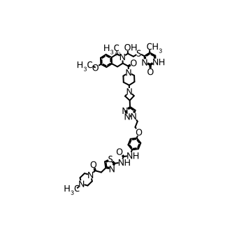 COc1ccc2c(c1)CC(C(=O)N1CCC(N3CC(c4cn(CCOc5ccc(NC(=O)Nc6nc(CC(=O)N7CCN(C)CC7)cs6)cc5)nn4)C3)CC1)N(C(O)CSc1nc(=O)[nH]cc1C)[C@H]2C